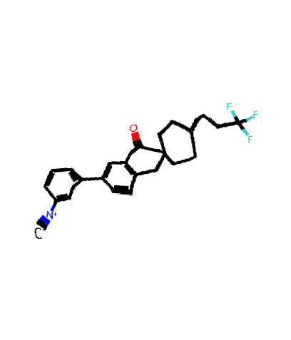 [C-]#[N+]c1cccc(-c2ccc3c(c2)C(=O)C2(CCC(CCC(F)(F)F)CC2)C3)c1